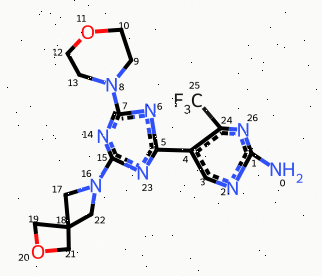 Nc1ncc(-c2nc(N3CCOCC3)nc(N3CC4(COC4)C3)n2)c(C(F)(F)F)n1